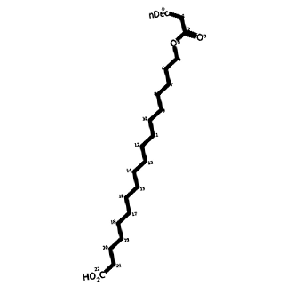 CCCCCCCCCCCC(=O)OCCCCCCCCCCCCCCCCCC(=O)O